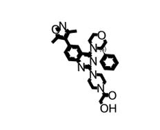 Cc1noc(C)c1-c1ccc2nc(N3CCN(C(=O)CO)CC3)nc(N3CCOC[C@@H]3c3ccccc3)c2c1